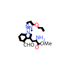 C=CCOc1ccnn1C.COC(=O)C(N)Cc1c[nH]c2cccc(C=O)c12